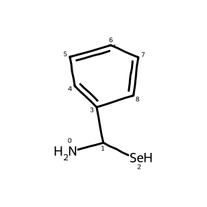 NC([SeH])c1cc[c]cc1